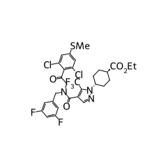 CCOC(=O)[C@H]1CC[C@H](n2ncc(C(=O)N(CC(=O)c3c(Cl)cc(SC)cc3Cl)Cc3cc(F)cc(F)c3)c2C(F)(F)F)CC1